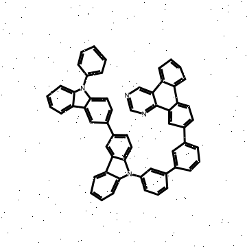 c1ccc(-n2c3ccccc3c3cc(-c4ccc5c(c4)c4ccccc4n5-c4cccc(-c5cccc(-c6ccc7c8ccccc8c8cncnc8c7c6)c5)c4)ccc32)cc1